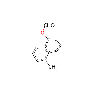 Cc1cccc2c(OC=O)cccc12